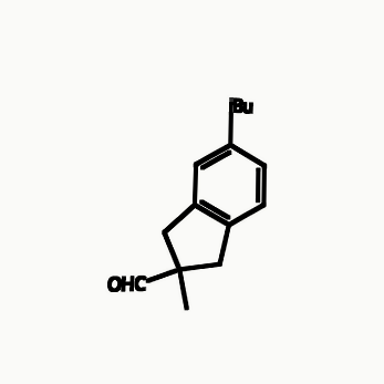 CCC(C)c1ccc2c(c1)CC(C)(C=O)C2